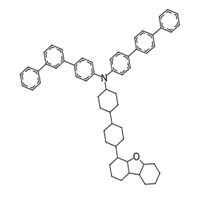 c1ccc(-c2ccc(-c3ccc(N(c4ccc(-c5cccc(-c6ccccc6)c5)cc4)C4CCC(C5CCC(C6CCCC7C8CCCCC8OC67)CC5)CC4)cc3)cc2)cc1